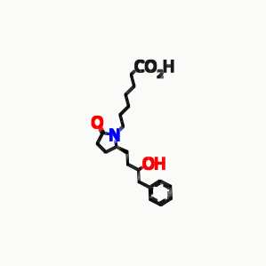 O=C(O)CCCCCCN1C(=O)CC[C@@H]1CCC(O)Cc1ccccc1